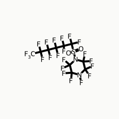 O=S(=O)(N1C(F)(F)C(F)(F)N(F)C(F)(F)C1(F)F)C(F)(F)C(F)(F)C(F)(F)C(F)(F)C(F)(F)C(F)(F)F